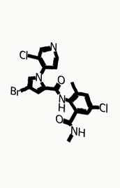 CNC(=O)c1cc(Cl)cc(C)c1NC(=O)c1cc(Br)cn1-c1ccncc1Cl